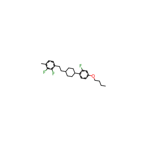 CCCCOc1ccc(C2CCC(CCc3ccc(C)c(F)c3F)CC2)c(F)c1